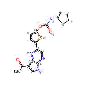 CC(C)(C)C(=O)c1c[nH]c2ncc(-c3ccc(OC(=O)NC4CCCC4)s3)nc12